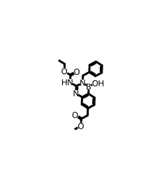 CCOC(=O)NC1=Nc2cc(CC(=O)OC)ccc2B(O)N1Cc1ccccc1